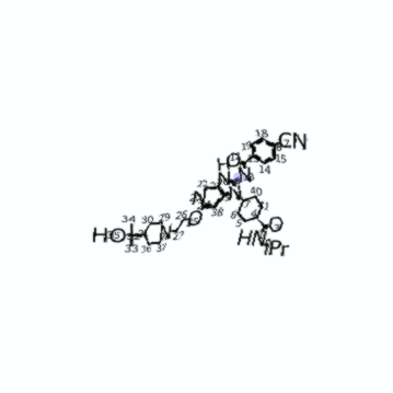 CC(C)NC(=O)[C@H]1CC[C@@H](n2/c(=N/C(=O)c3ccc(C#N)cc3)[nH]c3cnc(OCCN4CCC(C(C)(C)O)CC4)cc32)CC1